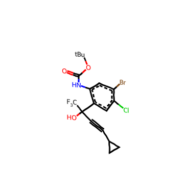 CC(C)(C)OC(=O)Nc1cc(Br)c(Cl)cc1C(O)(C#CC1CC1)C(F)(F)F